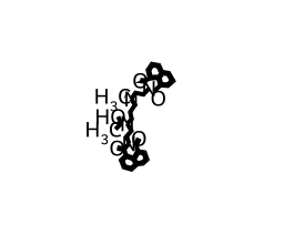 CC(O)N(CCCN(C)CCN1C(=O)c2cccc3cccc(c23)C1=O)CCN1C(=O)c2cccc3cccc(c23)C1=O